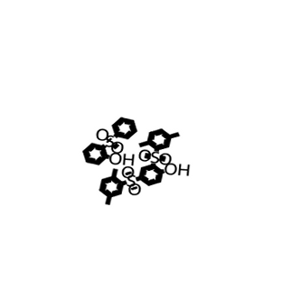 Cc1ccc(C)c(S(=O)(=O)c2ccc(O)c(S(=O)(=O)c3cc(C)ccc3C)c2)c1.O=S(=O)(c1ccccc1)c1ccccc1O